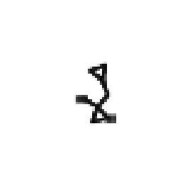 OC1(CN2CC2)CN1